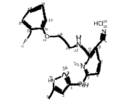 Cc1cc(Nc2ccc(C#N)c(NCCOc3ccccc3F)n2)n[nH]1.Cl